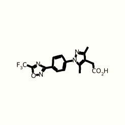 Cc1nn(-c2ccc(-c3noc(C(F)(F)F)n3)cc2)c(C)c1CC(=O)O